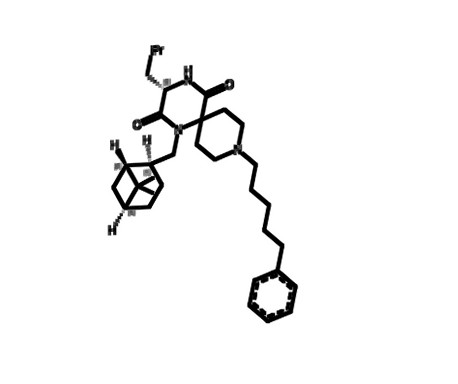 CC(C)C[C@@H]1NC(=O)C2(CCN(CCCCCc3ccccc3)CC2)N(C[C@H]2CC[C@H]3C[C@H]2C3(C)C)C1=O